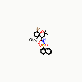 COc1ccc(Br)c2c1[C@@H](C(=O)NS(=O)(=O)c1cccc3ccccc13)CC(C)(C)O2